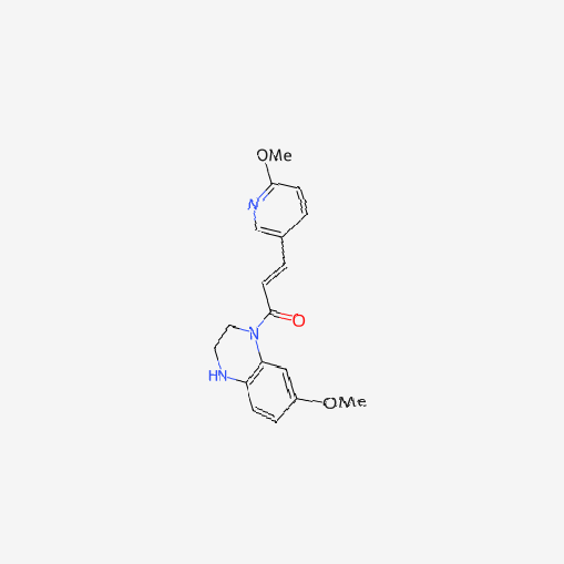 COc1ccc2c(c1)N(C(=O)C=Cc1ccc(OC)nc1)CCN2